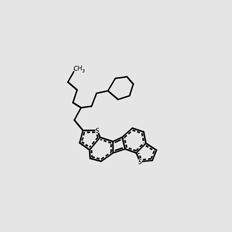 CCCCC(CCC1CCCCC1)Cc1cc2ccc3c(c2s1)=c1ccc2ccsc2c1=3